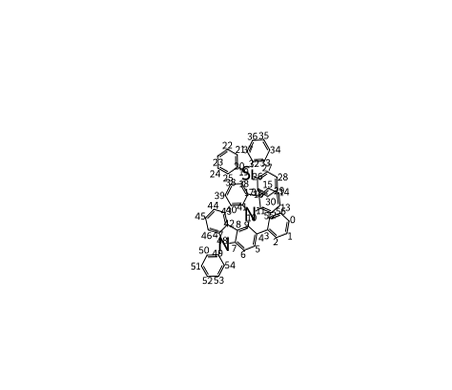 c1ccc(-c2ccc3c(c2-n2c4ccccc4c4c([Si](c5ccccc5)(c5ccccc5)c5ccccc5)cccc42)c2ccccc2n3-c2ccccc2)cc1